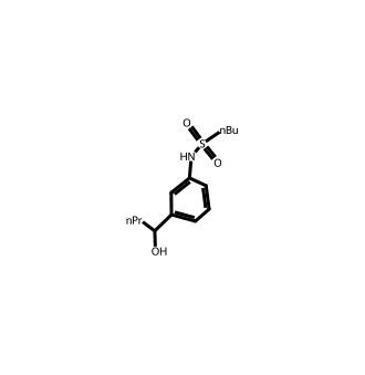 CCCCS(=O)(=O)Nc1cccc(C(O)CCC)c1